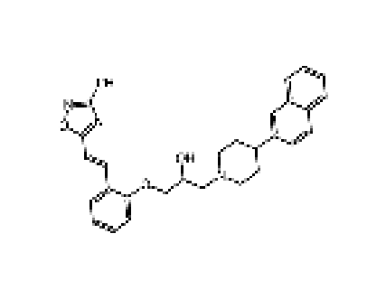 Cc1noc(/C=C/c2ccccc2OC[C@@H](O)CN2CCC(c3ccc4ccccc4c3)CC2)n1